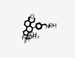 C[C@]12C[C@H](c3ccc(C=NO)cc3)C3=C4CCOC=C4CCC3C1CC[C@@]2(O)C(F)(F)F